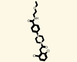 CCOCCNC(=O)c1ccc(N2CCN(C(=O)Cc3c(Cl)cccc3Cl)CC2)cc1